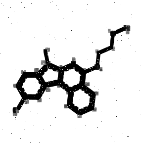 CCOCCOc1nc2c(c3ccccc13)c1cc(Cl)ccc1n2C